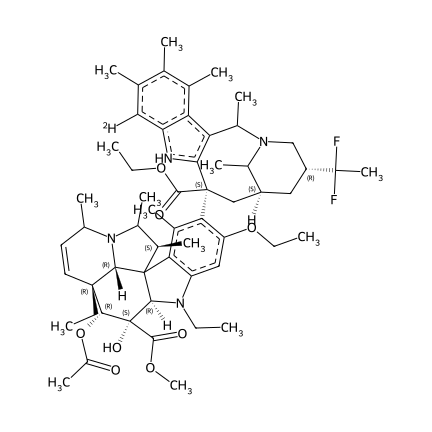 [2H]c1c(C)c(C)c(C)c2c3c([nH]c12)[C@@](C(=O)OCC)(c1c(OCC)cc2c(c1C)C14[C@H](C)C(C)N5C(C)C=C[C@](CC)([C@H]51)[C@@H](OC(C)=O)[C@](O)(C(=O)OC)[C@@H]4N2CC)C[C@@H]1C[C@@H](C(C)(F)F)CN(C3C)C1C